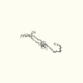 CC/C=C\C/C=C\C/C=C\CCCCCCCC(OCCCCCCCCCCCCCCCC)O[Si](C)(C)OCCCCCCN(CCO)CCO